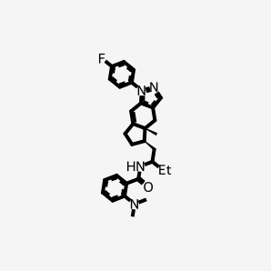 CCC(C[C@H]1CCC2=Cc3c(cnn3-c3ccc(F)cc3)C[C@@]21C)NC(=O)c1ccccc1N(C)C